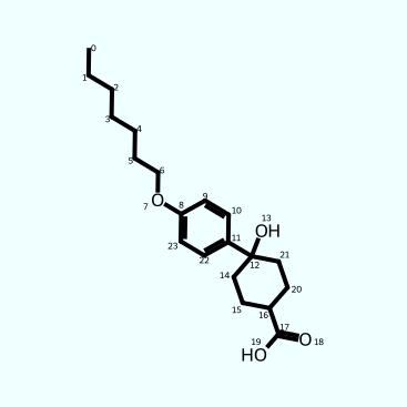 CCCCCCCOc1ccc(C2(O)CCC(C(=O)O)CC2)cc1